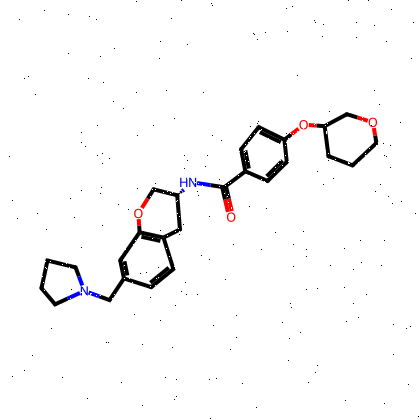 O=C(N[C@H]1COc2cc(CN3CCCC3)ccc2C1)c1ccc(OC2CCCOC2)cc1